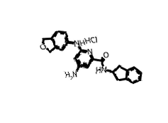 Cl.Nc1cc(Nc2ccc3c(c2)COC3)nc(C(=O)NC2Cc3ccccc3C2)c1